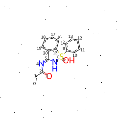 CCC(=O)N=C1NS(O)(c2ccccc2)c2ccccc21